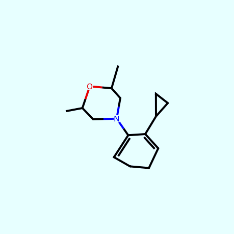 CC1CN(C2=CCCC=C2C2CC2)CC(C)O1